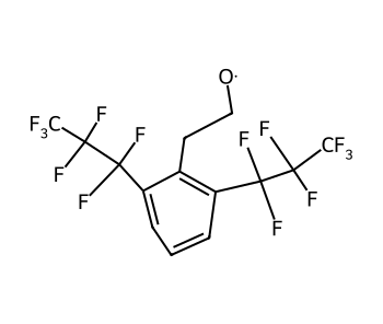 [O]CCc1c(C(F)(F)C(F)(F)C(F)(F)F)cccc1C(F)(F)C(F)(F)C(F)(F)F